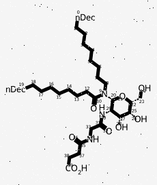 CCCCCCCCCCCCCCCCCCN(C(=O)CCCCCCCCCCCCCCCCC)[C@@H]1O[C@H](CO)[C@H](O)[C@H](O)[C@@H]1NC(=O)CNC(=O)CCC(=O)O